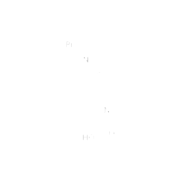 O=C(O)c1ccc(COc2cccc(Br)n2)cn1